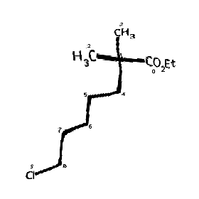 CCOC(=O)C(C)(C)CCCCCCl